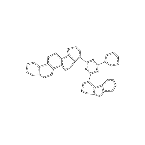 c1ccc(-c2nc(-c3cccc4c3ccc3c4ccc4c5ccccc5ccc43)nc(-c3cccc4sc5ccccc5c34)n2)cc1